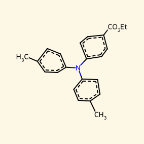 CCOC(=O)c1ccc(N(c2ccc(C)cc2)c2ccc(C)cc2)cc1